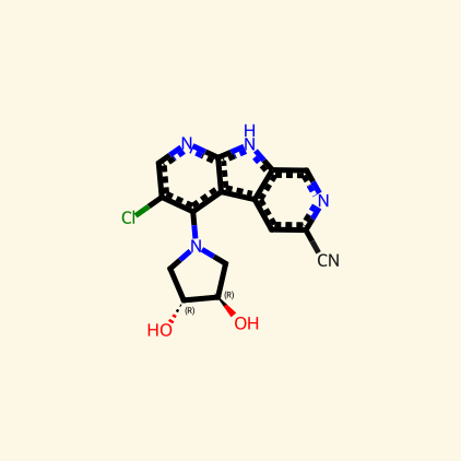 N#Cc1cc2c(cn1)[nH]c1ncc(Cl)c(N3C[C@@H](O)[C@H](O)C3)c12